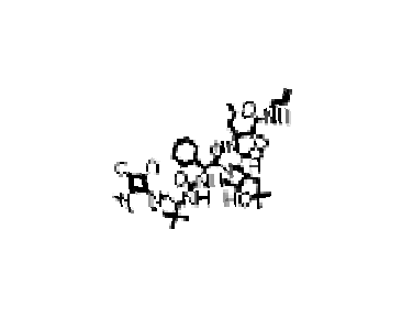 C=CCNC(=O)C(=O)C(CCC)NC(=O)[C@@H]1[C@H]2CC(C)(C)O[C@H]2CN1C(=O)[C@@H](NC(=O)N[C@H](CN(C)c1c(N(C)C)c(=O)c1=O)C(C)(C)C)C1CCCCC1